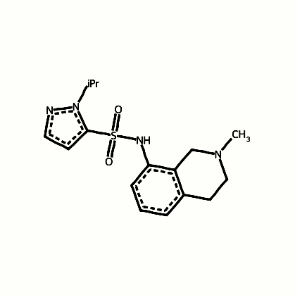 CC(C)n1nccc1S(=O)(=O)Nc1cccc2c1CN(C)CC2